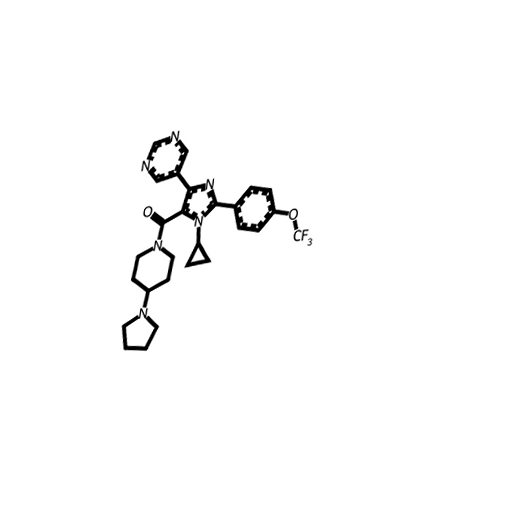 O=C(c1c(-c2cncnc2)nc(-c2ccc(OC(F)(F)F)cc2)n1C1CC1)N1CCC(N2CCCC2)CC1